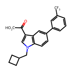 O=C(O)C(=O)c1cn(CC2CCC2)c2ccc(-c3cccc(C(F)(F)F)c3)cc12